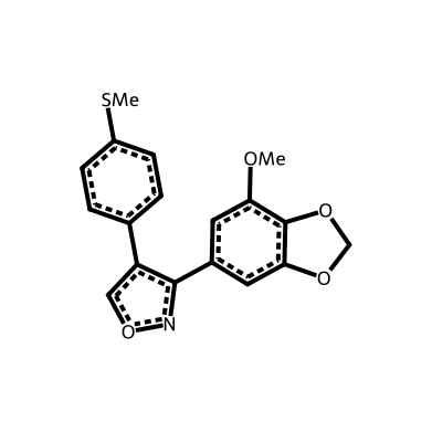 COc1cc(-c2nocc2-c2ccc(SC)cc2)cc2c1OCO2